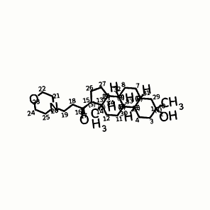 C[C@@]1(O)CC[C@H]2[C@H](CC[C@@H]3[C@@H]2CC[C@]2(C)[C@@H](C(=O)CCN4CCOCC4)CC[C@@H]32)C1